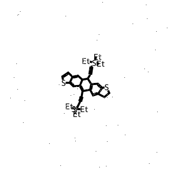 CC[Si](C#CC1=C2C=c3sccc3=CC2C(C#C[Si](CC)(CC)CC)c2cc3c(cc21)CCS3)(CC)CC